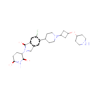 O=C1CCC(N2Cc3cc(C4CCN(C5CC(OC6CCNCC6)C5)CC4)c(F)cc3C2=O)C(=O)N1